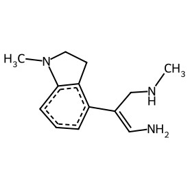 CNC/C(=C\N)c1cccc2c1CCN2C